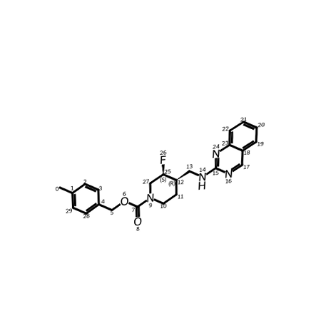 Cc1ccc(COC(=O)N2CC[C@H](CNc3ncc4ccccc4n3)[C@H](F)C2)cc1